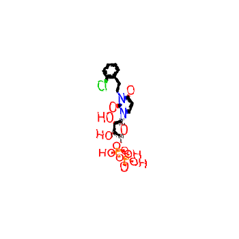 O=c1ccn([C@@H]2O[C@H](COP(=O)(O)OP(=O)(O)O)[C@H](O)C2O)c(=O)n1CCc1ccccc1Cl